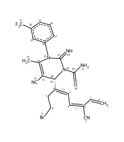 C=C/C(C#N)=C\C=C(/CCBr)[C@@H]1C(C#N)=C(C)N(c2cccc(C(F)(F)F)c2)C(=N)N1C(N)=O